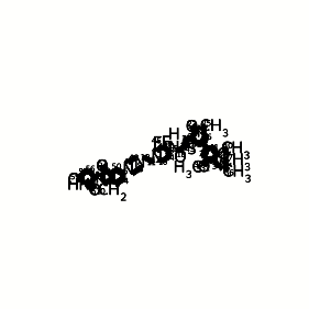 C=C1c2ccc(N3CCN(CCN4CCC(NC(=O)c5cc6c(=O)n(C)cc(-c7cc(OC)c(CN(C)C)c(OC)c7)c6s5)C(F)(F)C4)CC3)cc2C(=O)N1C1CCC(=O)NC1=O